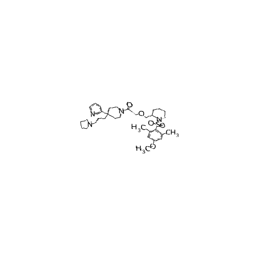 COc1cc(C)c(S(=O)(=O)N2CCCCC2COCC(=O)N2CCC(CCCN3CCCC3)(c3cccnc3)CC2)c(C)c1